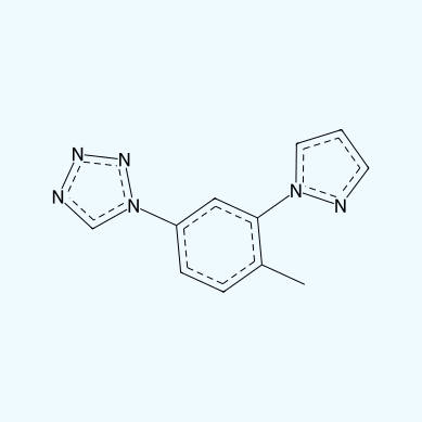 Cc1ccc(-n2cnnn2)cc1-n1cccn1